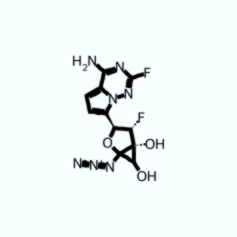 [N-]=[N+]=NC12O[C@@H](c3ccc4c(N)nc(F)nn34)[C@H](F)[C@@]1(O)C2O